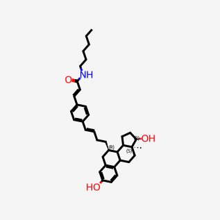 CCCCCCNC(=O)C=Cc1ccc(C=CCC[C@@H]2Cc3cc(O)ccc3C3CC[C@@]4(C)C(CC[C@H]4O)C32)cc1